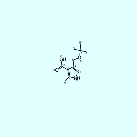 Cc1[nH]nc(COC(C)(C)C)c1C(=O)O